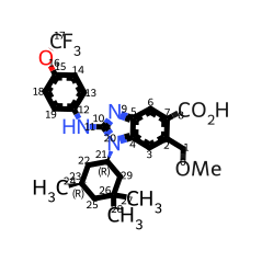 COCc1cc2c(cc1C(=O)O)nc(Nc1ccc(OC(F)(F)F)cc1)n2[C@@H]1C[C@H](C)CC(C)(C)C1